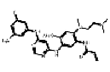 C=CC(=O)Nc1cc(Nc2cc(Nc3cc(F)cc(C(F)(F)F)c3)ncn2)c(OC)cc1N(C)CCN(C)C